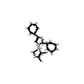 CC1=C(C)N(N2C=C(c3ccccc3)S[C]2c2ccccc2)CS1